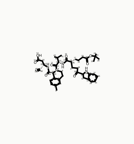 Cc1ccc2c(c1)CCN(C(=O)[C@@H](NC(=O)[C@H](CCCC(=O)OC(C)(C)C)CCC(=O)C1Cc3ccccc3N1)C(C)C)[C@@H]2C(=O)N[C@H](C#N)CC(=O)O